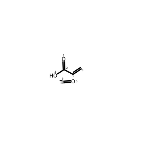 C=CC(=O)O.[O]=[Ti]